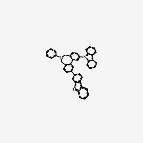 c1ccc(N2Cc3ccc(-c4ccc5c(c4)oc4ccccc45)cc3-c3cc(-n4c5ccccc5c5ccccc54)ccc3C2)cc1